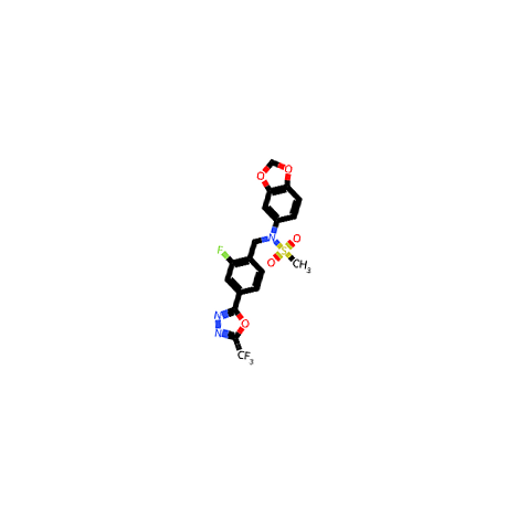 CS(=O)(=O)N(Cc1ccc(-c2nnc(C(F)(F)F)o2)cc1F)c1ccc2c(c1)OCO2